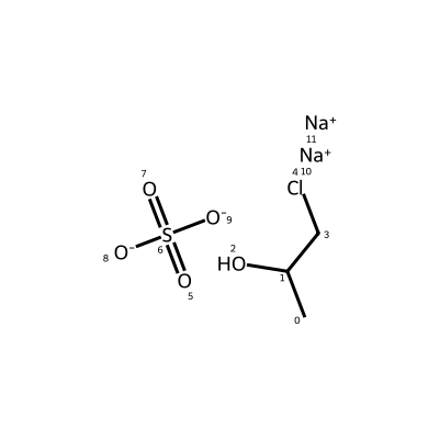 CC(O)CCl.O=S(=O)([O-])[O-].[Na+].[Na+]